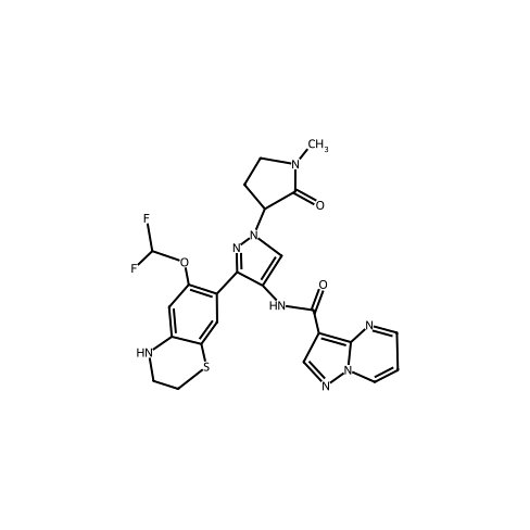 CN1CCC(n2cc(NC(=O)c3cnn4cccnc34)c(-c3cc4c(cc3OC(F)F)NCCS4)n2)C1=O